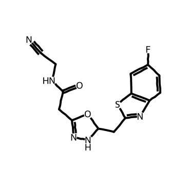 N#CCNC(=O)CC1=NNC(Cc2nc3ccc(F)cc3s2)O1